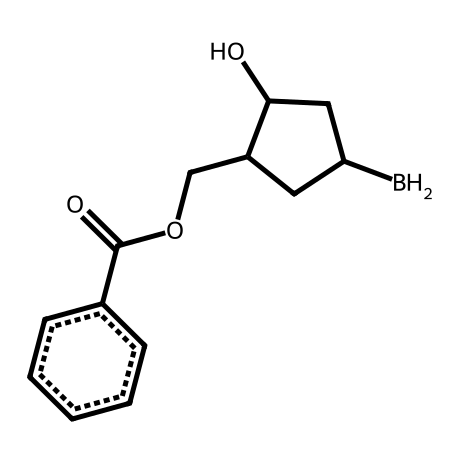 BC1CC(O)C(COC(=O)c2ccccc2)C1